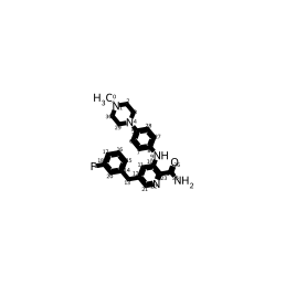 CN1CCN(c2ccc(Nc3cc(Cc4cccc(F)c4)cnc3C(N)=O)cc2)CC1